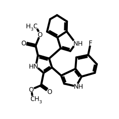 COC(=O)c1[nH]c(C(=O)OC)c(-c2c[nH]c3ccc(F)cc23)c1-c1c[nH]c2c1=CCCC=2